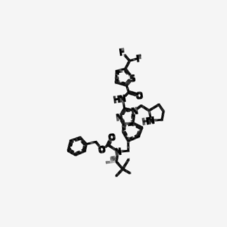 C[C@H](N(Cc1ccc2c(c1)nc(NC(=O)c1ccc(C(F)F)s1)n2CC1CCCN1)C(=O)OCc1ccccc1)C(C)(C)C